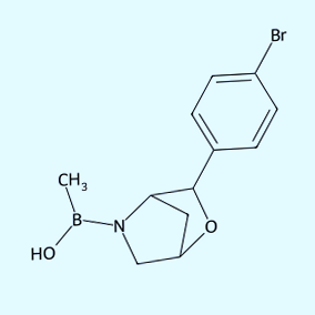 CB(O)N1CC2CC1C(c1ccc(Br)cc1)O2